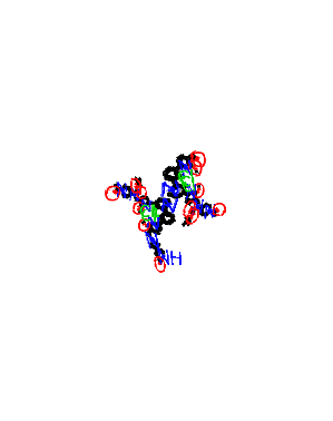 COc1nc(-c2cccc(-c3nccc(-c4ccc(CN(C(=O)OC(C)(C)C)C5CCN(C(C)=O)CC5)c(OC)n4)c3Cl)c2Cl)ccc1C=O.COc1nc(-c2cccc(-c3nccc(-c4ccc(CN(C(=O)OC(C)(C)C)C5CCN(C(C)=O)CC5)c(OC)n4)c3Cl)c2Cl)ccc1CN1CC2(CNC(=O)C2)C1